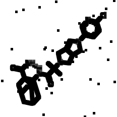 CC(C)(C(=O)NC1C2CC3CC(C2)CC1(C(N)=O)C3)N1CC2=CN(c3ccc(Cl)nc3)CC2C1